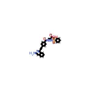 Nc1cc2ccccc2c(C#Cc2ccc(C(=O)NCC(NS(=O)(=O)c3ccccc3)C(=O)O)cc2)n1